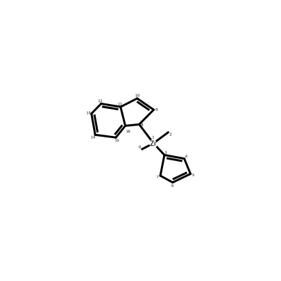 [CH3][Zr]([CH3])([C]1=CC=CC1)[CH]1C=Cc2ccccc21